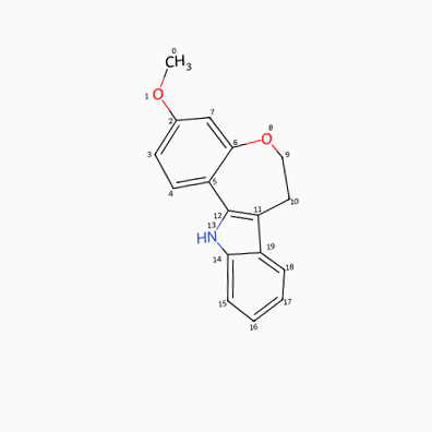 COc1ccc2c(c1)OCCc1c-2[nH]c2ccccc12